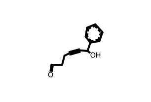 O=CCCC#CC(O)c1ccccc1